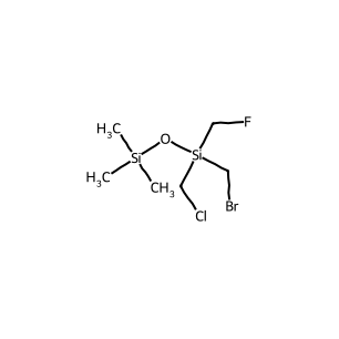 C[Si](C)(C)O[Si](CF)(CCl)CBr